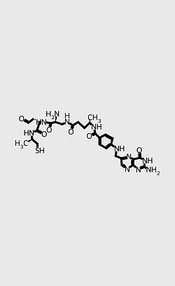 C[C@H](CS)NC(=O)[C@H](CC=O)NC(=O)[C@@H](N)CNC(=O)CC[C@H](C)NC(=O)c1ccc(NCc2cnc3nc(N)[nH]c(=O)c3n2)cc1